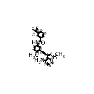 CCn1cc(C#Cc2cc(NC(=O)c3cccc(C(F)(F)F)c3)ccc2C)c2c(N)ncnc21